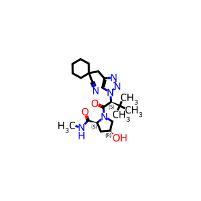 CNC(=O)[C@@H]1C[C@@H](O)CN1C(=O)[C@@H](n1cc(CC2(C#N)CCCCC2)nn1)C(C)(C)C